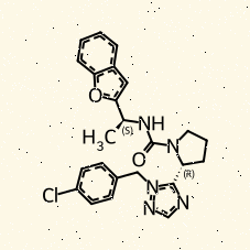 C[C@H](NC(=O)N1CCC[C@@H]1c1ncnn1Cc1ccc(Cl)cc1)c1cc2ccccc2o1